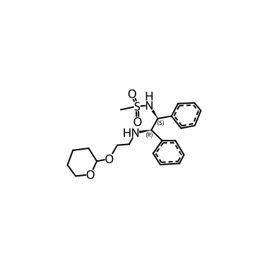 CS(=O)(=O)N[C@@H](c1ccccc1)[C@H](NCCOC1CCCCO1)c1ccccc1